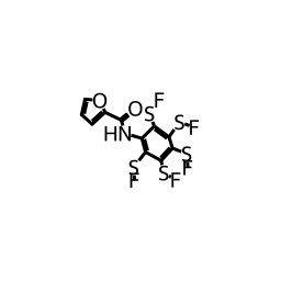 O=C(Nc1c(SF)c(SF)c(SF)c(SF)c1SF)c1ccco1